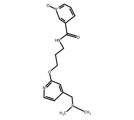 CN(C)Cc1ccnc(OCCCNC(=O)c2ccc[n+]([O-])c2)c1